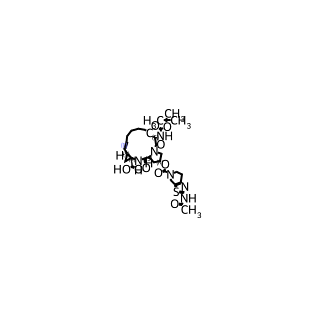 CC(=O)Nc1nc2c(s1)CN(C(=O)O[C@@H]1C[C@H]3C(=O)N[C@]4(C(=O)O)C[C@H]4/C=C/CCCCC[C@H](NC(=O)OC(C)(C)C)C(=O)N3C1)CC2